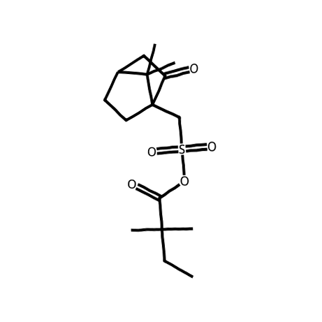 CCC(C)(C)C(=O)OS(=O)(=O)CC12CCC(CC1=O)C2(C)C